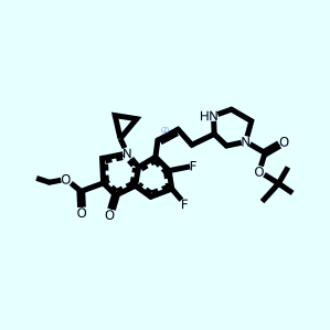 CCOC(=O)c1cn(C2CC2)c2c(/C=C\CC3CN(C(=O)OC(C)(C)C)CCN3)c(F)c(F)cc2c1=O